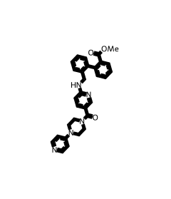 COC(=O)c1ccccc1-c1ccccc1CNc1ccc(C(=O)N2CCN(c3ccncc3)CC2)cn1